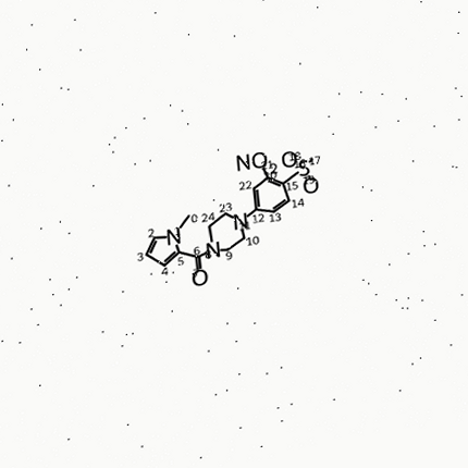 Cn1cccc1C(=O)N1CCN(c2ccc(S(C)(=O)=O)c([N+](=O)[O-])c2)CC1